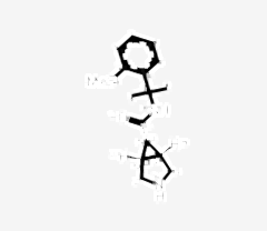 CSc1ccccc1C(C)(C)NC(=O)[C@@H]1[C@@H]2CNC[C@@H]21